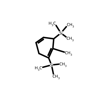 CC1=C([Si](C)(C)C)CC=CC1[Si](C)(C)C